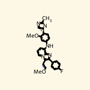 CO/C=C/c1c(-c2ccc(F)cc2)nc2c(Nc3ccc(-n4cnc(C)n4)c(OC)c3)cccn12